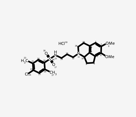 COc1cc2c3c(c1OC)CCC3N(CCCNS(=O)(=O)c1cc(C)c(Cl)cc1C)CC2.Cl